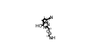 N#Cc1ccc2c(O)nc(COOC=N)nn12